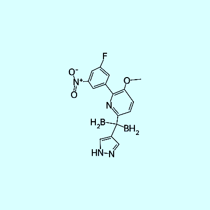 BC(B)(c1cn[nH]c1)c1ccc(OC)c(-c2cc(F)cc([N+](=O)[O-])c2)n1